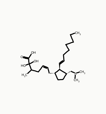 CCCCCC/C=C/[C@@H]1[C@@H](C/C=C\CC(C)C(O)(O)C(=O)O)CC[C@H]1CN(C)C